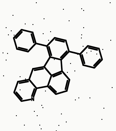 c1ccc(-c2ccc(-c3ccccc3)c3c2-c2cccc4c2c-3cc2cccnc24)cc1